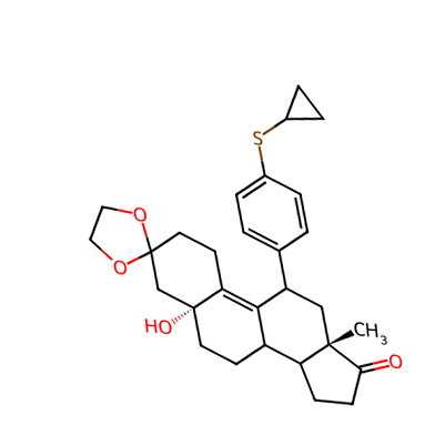 C[C@]12CC(c3ccc(SC4CC4)cc3)C3=C4CCC5(C[C@]4(O)CCC3C1CCC2=O)OCCO5